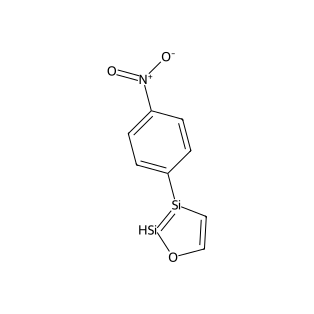 O=[N+]([O-])c1ccc(-[si]2cco[siH]2)cc1